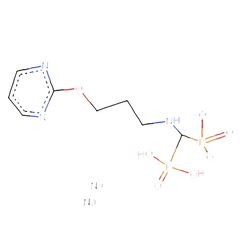 O=P([O-])([O-])C(NCCCOc1ncccn1)P(=O)(O)O.[Na+].[Na+]